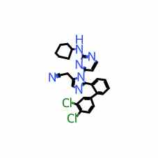 N#CCc1cnc(-c2ccccc2-c2ccc(Cl)c(Cl)c2)n1-c1ccnc(NC2CCCCC2)n1